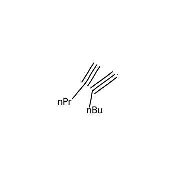 C#CCCC.[C]#CCCCC